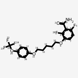 NC(=O)c1c(F)ccc(OCCCCCOc2ccc(OC(F)(F)F)cc2)c1F